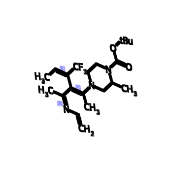 C=C\N=C(C)/C(C(=C\C)/C(F)(F)F)=C(\C)N1CCN(C(=O)OC(C)(C)C)C(C)C1